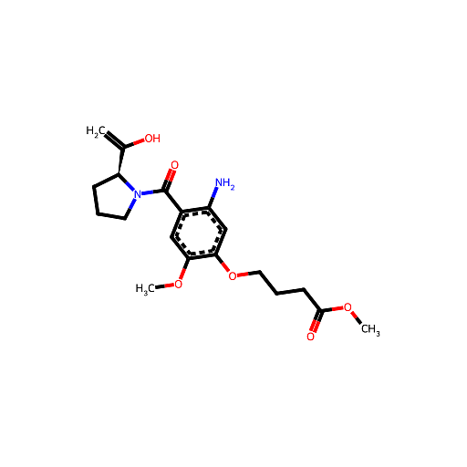 C=C(O)[C@@H]1CCCN1C(=O)c1cc(OC)c(OCCCC(=O)OC)cc1N